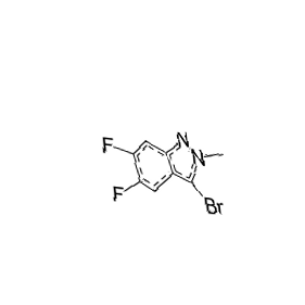 Cn1nc2cc(F)c(F)cc2c1Br